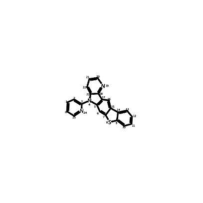 c1ccc(-n2c3cc4sc5ccccc5c4cc3c3ncccc32)nc1